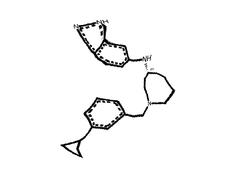 c1cc(CN2CCC[C@@H](Nc3ccc4cn[nH]c4c3)C2)cc(C2CC2)c1